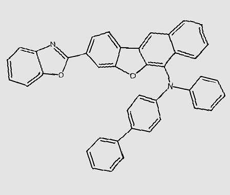 c1ccc(-c2ccc(N(c3ccccc3)c3c4ccccc4cc4c3oc3cc(-c5nc6ccccc6o5)ccc34)cc2)cc1